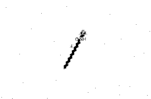 CCCCCCCCCCCCCCCC(=O)NCC[N+](C)(C)C.[I-]